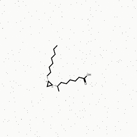 CCCCCCCC[C@H]1C[C@H]1C(C)CCCCCC(=O)O